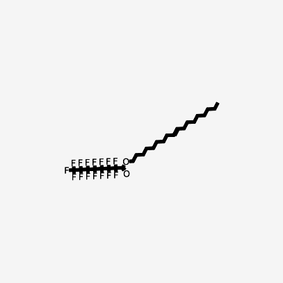 CCCCCCCCC=CCCCCCCCCOC(=O)C(F)(F)C(F)(F)C(F)(F)C(F)(F)C(F)(F)C(F)(F)C(F)(F)F